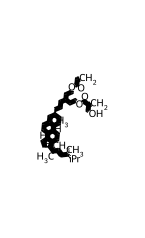 C=CC(=O)OCCC(CCC[C@H]1CC[C@@]2(C)C(=CC[C@H]3[C@@H]4CC[C@H]([C@H](C)/C=C/[C@H](C)C(C)C)[C@@]4(C)CC[C@@H]32)C1)CCOC(=O)C(=C)CO